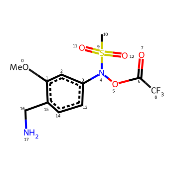 COc1cc(N(OC(=O)C(F)(F)F)S(C)(=O)=O)ccc1CN